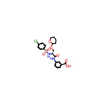 O=C(O)c1cccc(NC(=O)[C@H](COC2CCCCO2)NS(=O)(=O)c2ccc(Cl)cc2)c1